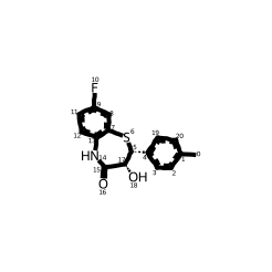 Cc1ccc([C@H]2Sc3cc(F)ccc3NC(=O)[C@H]2O)cc1